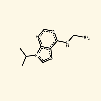 CC(C)n1cnc2c(NCN)ncnc21